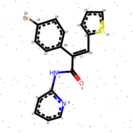 O=C(Nc1ccccn1)/C(=C/c1cccs1)c1ccc(Br)cc1